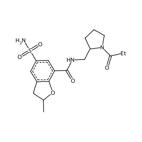 CCC(=O)N1CCCC1CNC(=O)c1cc(S(N)(=O)=O)cc2c1OC(C)C2